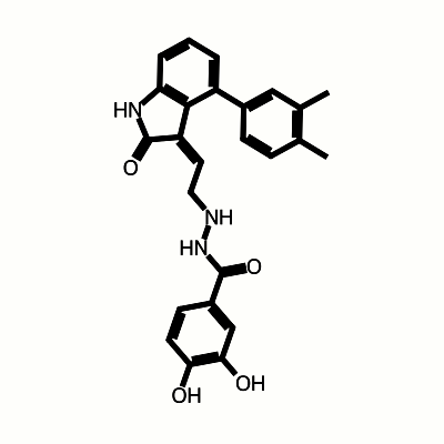 Cc1ccc(-c2cccc3c2/C(=C/CNNC(=O)c2ccc(O)c(O)c2)C(=O)N3)cc1C